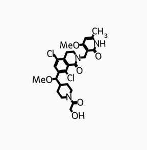 COc1cc(C)[nH]c(=O)c1CN1CCc2c(Cl)cc(C(OC)C3CCN(C(=O)CO)CC3)c(Cl)c2C1=O